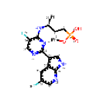 CC(C)OP(=O)(O)CC[C@@H](Nc1nc(-c2c[nH]c3ncc(F)cc23)ncc1F)C(C)C